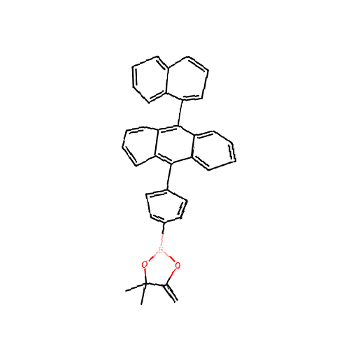 C=C1OB(c2ccc(-c3c4ccccc4c(-c4cccc5ccccc45)c4ccccc34)cc2)OC1(C)C